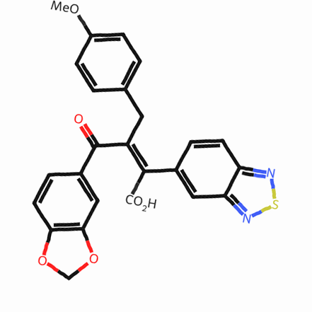 COc1ccc(CC(C(=O)c2ccc3c(c2)OCO3)=C(C(=O)O)c2ccc3nsnc3c2)cc1